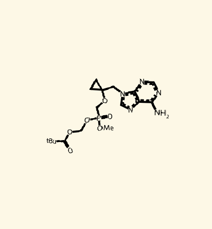 [CH2]OP(=O)(COC1(Cn2cnc3c(N)ncnc32)CC1)OCOC(=O)C(C)(C)C